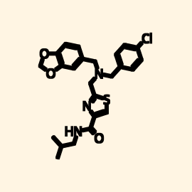 CC(C)CNC(=O)c1csc(CN(Cc2ccc(Cl)cc2)Cc2ccc3c(c2)OCO3)n1